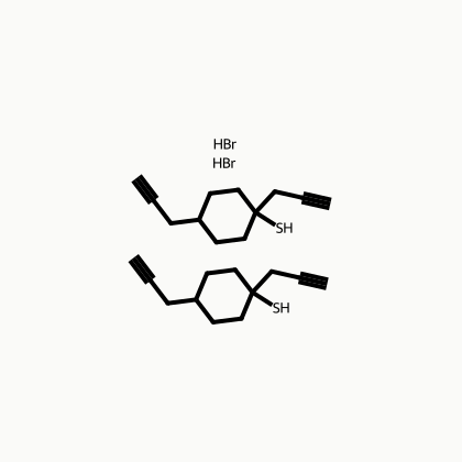 Br.Br.C#CCC1CCC(S)(CC#C)CC1.C#CCC1CCC(S)(CC#C)CC1